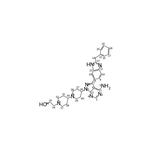 Nc1ncnc2c1c(-c1ccc3nc(Cc4ccccc4)[nH]c3c1)nn2C1CCN(C2CCN(CCO)CC2)CC1